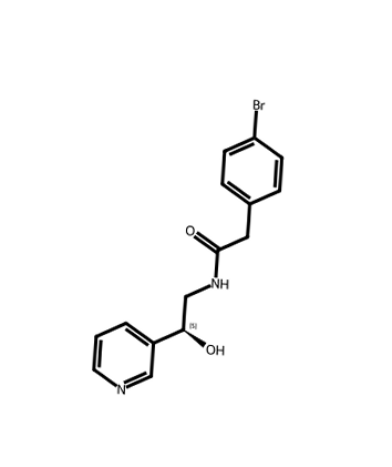 O=C(Cc1ccc(Br)cc1)NC[C@@H](O)c1cccnc1